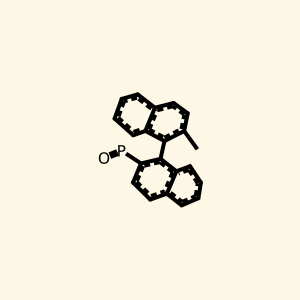 Cc1ccc2ccccc2c1-c1c(P=O)ccc2ccccc12